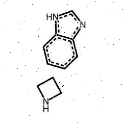 C1CNC1.c1ccc2[nH]cnc2c1